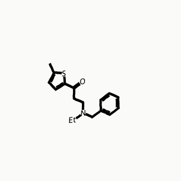 CCN(CCC(=O)c1ccc(C)s1)Cc1ccccc1